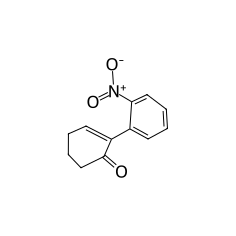 O=C1CCCC=C1c1ccccc1[N+](=O)[O-]